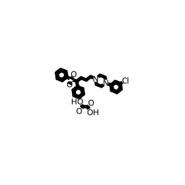 O=C(O)C(=O)O.O=S(=O)(c1ccccc1)C(CCCN1CCN(c2cccc(Cl)c2)CC1)c1ccccc1